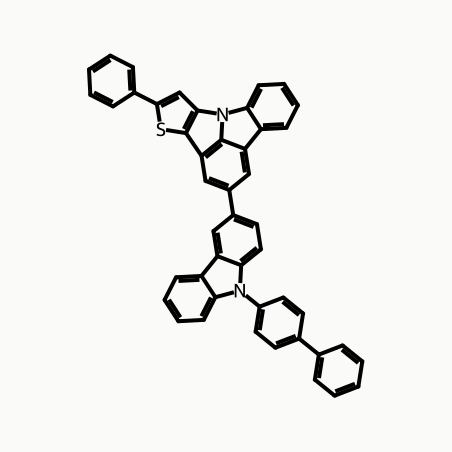 c1ccc(-c2ccc(-n3c4ccccc4c4cc(-c5cc6c7ccccc7n7c8cc(-c9ccccc9)sc8c(c5)c67)ccc43)cc2)cc1